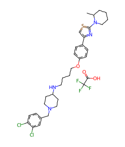 CC1CCCCN1c1nc(-c2ccc(OCCCCNC3CCN(Cc4ccc(Cl)c(Cl)c4)CC3)cc2)cs1.O=C(O)C(F)(F)F